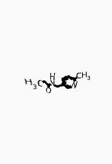 CCC(=O)NCc1ccc(C)nc1